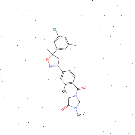 CCCN1CN(C(=O)c2ccc(C3=NOC(C)(c4cc(C)cc(Cl)c4)C3)cc2C(F)(F)F)CC1=O